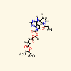 CC(=O)OCC(COC(C)=O)OC(=O)CC(C)CC(=O)OC(C)OC(=O)n1ccc2c(N(C)[C@H]3CN(C(=O)CC#N)CC[C@H]3C)ncnc21